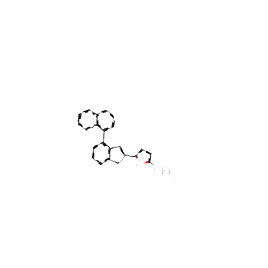 Cc1ccc(C2=Cc3c(cccc3-c3cccc4ccccc34)[CH]2)o1